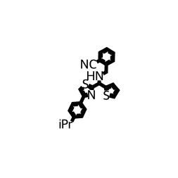 CC(C)c1ccc(-c2csc(C(NCc3ccccc3C#N)c3cccs3)n2)cc1